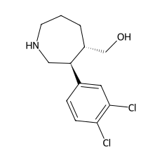 OC[C@H]1CCCNC[C@@H]1c1ccc(Cl)c(Cl)c1